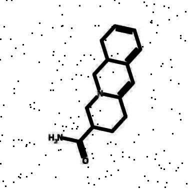 NC(=O)C1CCC2=CC3=CC=CCC3CN2C1